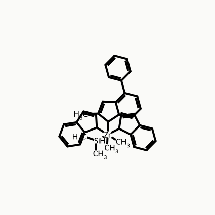 CC1=Cc2c(-c3ccccc3)cccc2[CH]1[Zr]([CH3])([CH3])([CH]1C=Cc2ccccc21)([CH]1C=Cc2ccccc21)[SiH](C)C